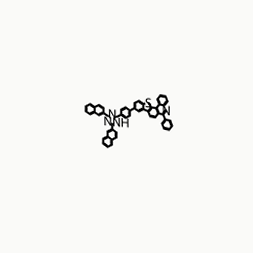 c1ccc(-c2nc3ccccc3c3c2ccc2c4cc(-c5ccc(C6=NC(c7ccc8ccccc8c7)=NC(c7ccc8ccccc8c7)N6)cc5)ccc4sc23)cc1